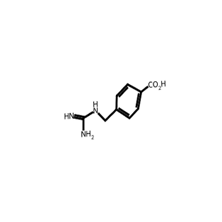 N=C(N)NCc1ccc(C(=O)O)cc1